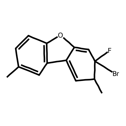 Cc1ccc2oc3c(c2c1)=CC(C)C(F)(Br)C=3